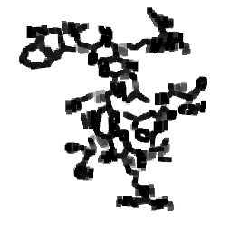 CC[C@H](C)[C@H](NC(=O)[C@@H](CCCNC(=N)N)NC(=O)[C@H](CCC(=O)O)NC(=O)[C@H](CS)NC(=O)[C@H](CC(C)C)NC(=O)[C@@H](CCCNC(=N)N)NC(=O)[C@H](Cc1c[nH]c2ccccc12)NC)C(=O)N[C@@H](CC(C)C)C(=O)N[C@@H](C)C(=O)O